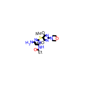 CCC(=O)Nc1cc(N)nc(Sc2c(OC)nc(N3CCOCC3)nc2OC)n1